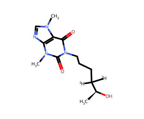 [2H]C([2H])(CCCn1c(=O)c2c(ncn2C)n(C)c1=O)[C@H](C)O